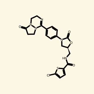 O=C(NC[C@H]1CN(c2ccc(C3=NCCN4C(=O)CCN34)cc2)C(=O)O1)c1ccc(Cl)s1